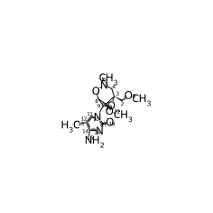 COC[C@@]12CN(C)OC(C(n3cc(C)c(N)nc3=O)O1)C2OC